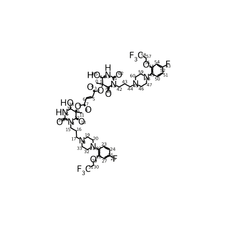 CC1(OC(=O)/C=C/C(=O)OC2(C)C(=O)N(CCCN3CCN(c4ccc(F)cc4OCC(F)(F)F)CC3)C(=O)NC2O)C(=O)N(CCCN2CCN(c3ccc(F)cc3OCC(F)(F)F)CC2)C(=O)NC1O